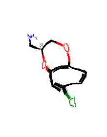 NC[C@H]1COc2ccc(Cl)cc2O1